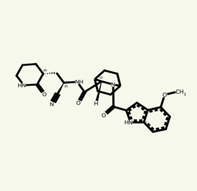 COc1cccc2[nH]c(C(=O)N3C4CCC(CC4)[C@H]3C(=O)N[C@@H](C#N)C[C@H]3CCCNC3=O)cc12